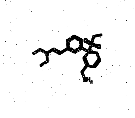 CCN(C=Cc1cccc([N+]2(S(=O)(=O)CC)C=C(CN)C=CC2)c1)CC